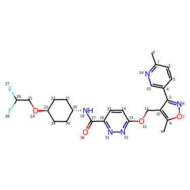 Cc1ccc(-c2noc(C)c2COc2ccc(C(=O)N[C@H]3CC[C@H](OCC(F)F)CC3)nn2)cn1